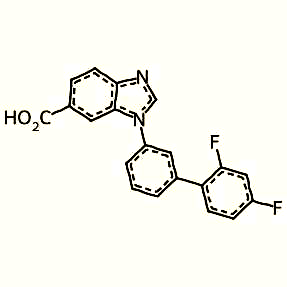 O=C(O)c1ccc2ncn(-c3cccc(-c4ccc(F)cc4F)c3)c2c1